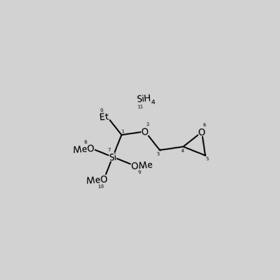 CCC(OCC1CO1)[Si](OC)(OC)OC.[SiH4]